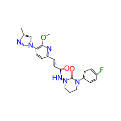 COc1nc(/C=C/C(=O)NN2CCCN(c3ccc(F)cc3)C2=O)ccc1-n1cnc(C)c1